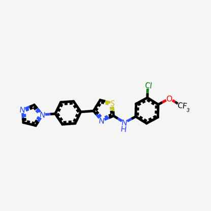 FC(F)(F)Oc1ccc(Nc2nc(-c3ccc(-n4ccnc4)cc3)cs2)cc1Cl